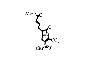 COC(=O)C=CCC1C(=O)N2C(C(=O)O)=C([S+]([O-])C(C)(C)C)CC12